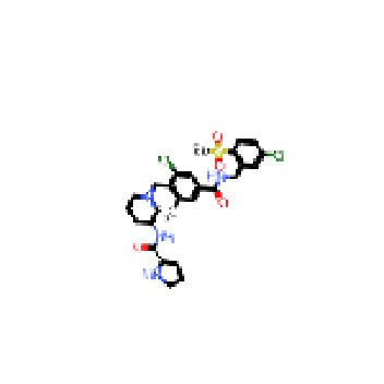 CCS(=O)(=O)c1ccc(Cl)cc1CNC(=O)c1cc(Cl)c(CN2CCC[C@H](NC(=O)[C@H]3CCCN3)C2)c(C(F)(F)F)c1